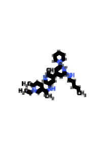 C=CN/C=C(\C=C/CC)C(=C)Nc1cnc(C)c(-c2cc(NCCCCC)nc(N3CCCCC3)c2)c1